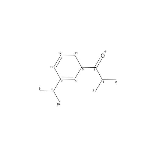 CC(C)C(=O)C1C=C(C(C)C)C=CC1